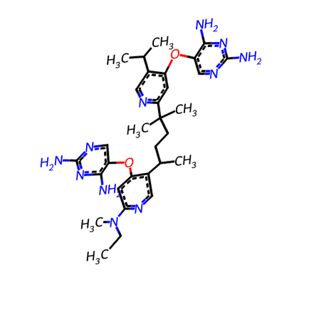 CCN(C)c1cc(Oc2cnc(N)nc2N)c(C(C)CCC(C)(C)c2cc(Oc3cnc(N)nc3N)c(C(C)C)cn2)cn1